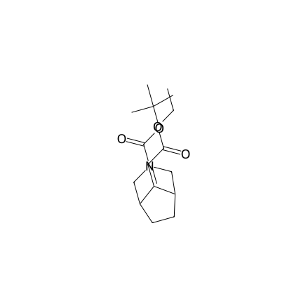 CCOC(=O)C=C1C2CCC1CN(C(=O)OC(C)(C)C)C2